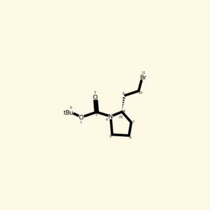 CC(C)(C)OC(=O)N1CCC[C@H]1CCBr